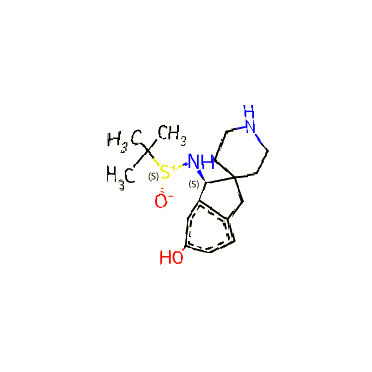 CC(C)(C)[S@@+]([O-])N[C@@H]1c2cc(O)ccc2CC12CCNCC2